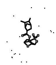 CC1C2CC(C(=O)OC3C4CC5C(O4)C3OS5(=O)=O)C(C2)C1C